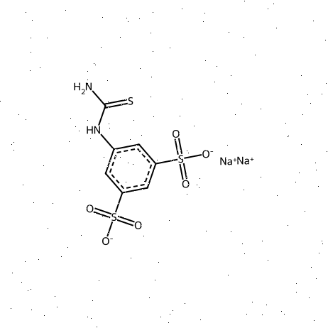 NC(=S)Nc1cc(S(=O)(=O)[O-])cc(S(=O)(=O)[O-])c1.[Na+].[Na+]